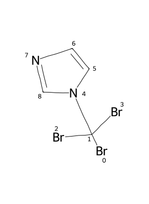 BrC(Br)(Br)n1ccnc1